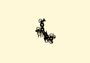 C=CC(=O)Nc1cc(N2CCN(C(=O)C3CC3)CC2)ccc1Nc1ncc2cc(-c3c(Cl)c(OC)cc(OC)c3Cl)c3nccn3c2n1